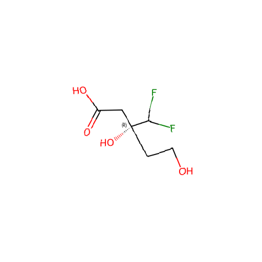 O=C(O)C[C@](O)(CCO)C(F)F